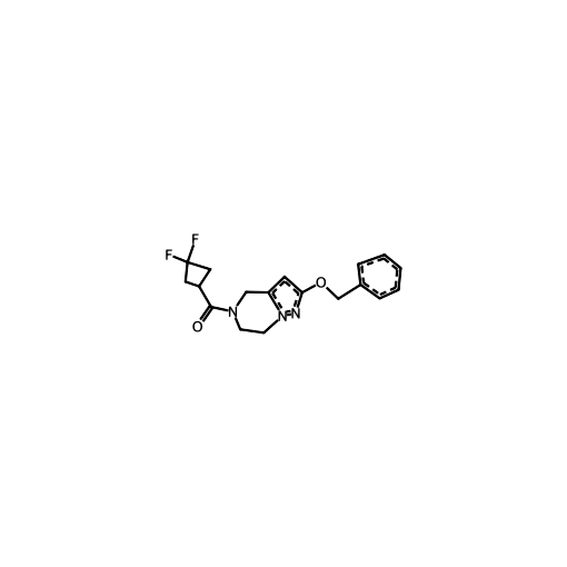 O=C(C1CC(F)(F)C1)N1CCn2nc(OCc3ccccc3)cc2C1